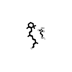 CC(C=CC=C(C)C=CC1=C(C)CCCC1(C)C)=CC=O.NCCS(=O)(=O)O